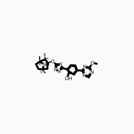 COc1ncnc(-c2ccc(-c3nnc(O[C@H]4C[C@]5(C)CC[C@@](C)(N5)[C@H]4F)s3)c(O)c2)n1